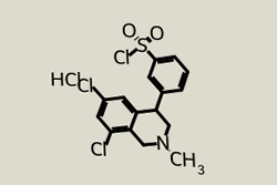 CN1Cc2c(Cl)cc(Cl)cc2C(c2cccc(S(=O)(=O)Cl)c2)C1.Cl